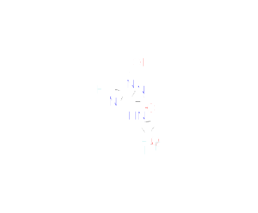 O=C(Nc1ccc(OC(F)(F)F)cc1)c1cnc(N2CCC(CO)C2)c(-c2ccc(CF)nc2)c1